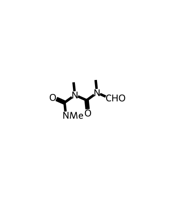 CNC(=O)N(C)C(=O)N(C)C=O